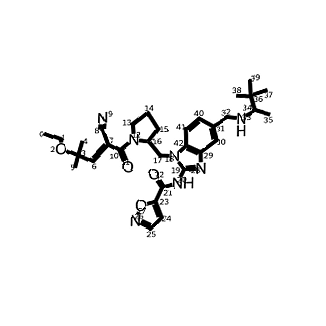 CCOC(C)(C)C=C(C#N)C(=O)N1CCCC1Cn1c(NC(=O)c2ccno2)nc2cc(CNC(C)C(C)(C)C)ccc21